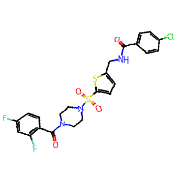 O=C(NCc1ccc(S(=O)(=O)N2CCN(C(=O)c3ccc(F)cc3F)CC2)s1)c1ccc(Cl)cc1